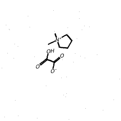 C[N+]1(C)CCCC1.O=C([O-])C(=O)O